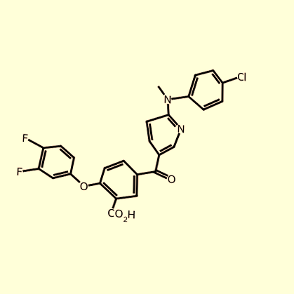 CN(c1ccc(Cl)cc1)c1ccc(C(=O)c2ccc(Oc3ccc(F)c(F)c3)c(C(=O)O)c2)cn1